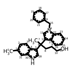 Cc1ccc2c(C(C)(CCCO)c3cn(Cc4ccccc4)c4ccccc34)c[nH]c2c1